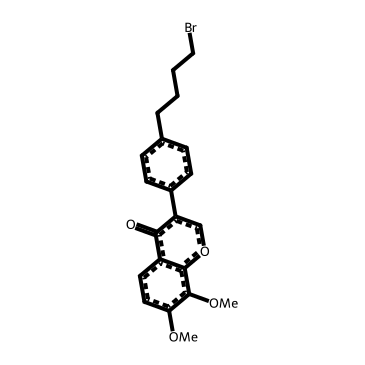 COc1ccc2c(=O)c(-c3ccc(CCCCBr)cc3)coc2c1OC